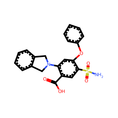 NS(=O)(=O)c1cc(C(=O)O)c(N2Cc3ccccc3C2)cc1Oc1ccccc1